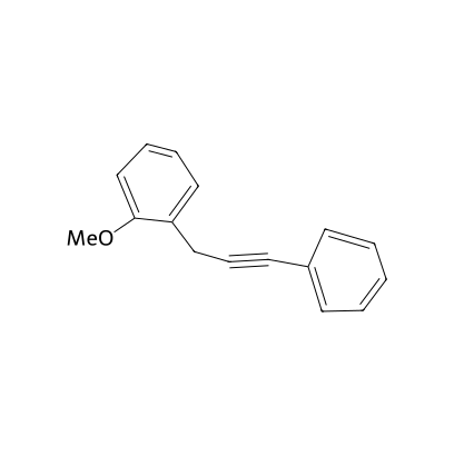 COc1ccccc1CC#Cc1ccccc1